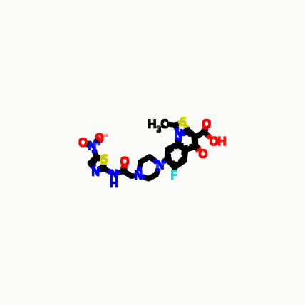 CC1Sc2c(C(=O)O)c(=O)c3cc(F)c(N4CCN(CC(=O)Nc5ncc([N+](=O)[O-])s5)CC4)cc3n21